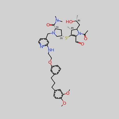 COc1ccc(CCCc2cccc(OCCNc3cc(CN4C[C@@H](SC5=C(C=O)N(C(C)=O)C(C[C@@H](C)O)[C@H]5C)C[C@H]4C(=O)N(C)C)ccn3)c2)cc1OC